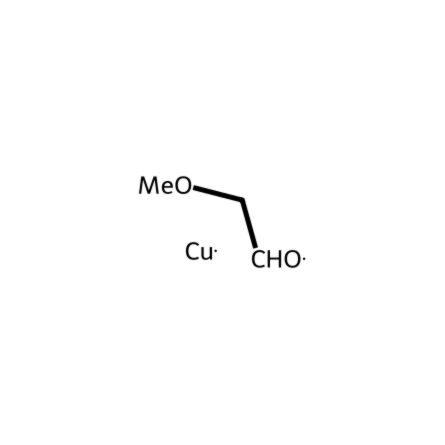 COC[C]=O.[Cu]